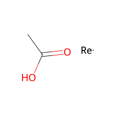 CC(=O)O.[Re]